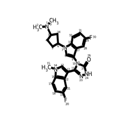 CN(C)C1CCC(n2cc(-n3c(-c4cn(C)c5ccc(F)cc45)n[nH]c3=O)c3cc(F)ccc32)C1